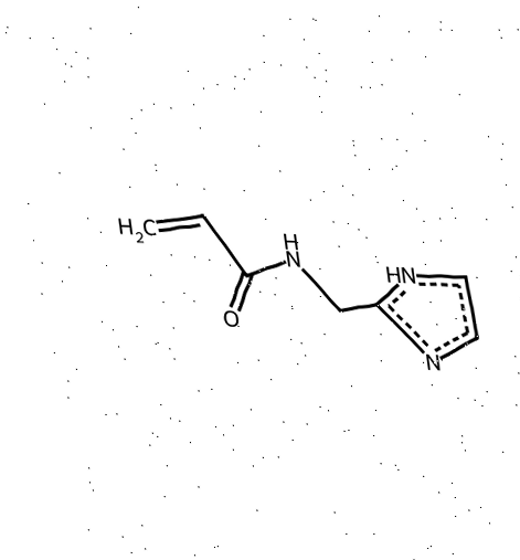 C=CC(=O)NCc1ncc[nH]1